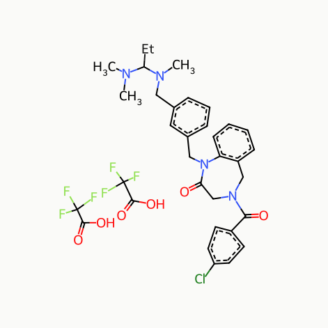 CCC(N(C)C)N(C)Cc1cccc(CN2C(=O)CN(C(=O)c3ccc(Cl)cc3)Cc3ccccc32)c1.O=C(O)C(F)(F)F.O=C(O)C(F)(F)F